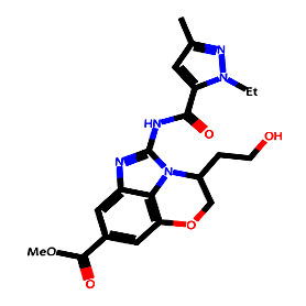 CCn1nc(C)cc1C(=O)Nc1nc2cc(C(=O)OC)cc3c2n1C(CCO)CO3